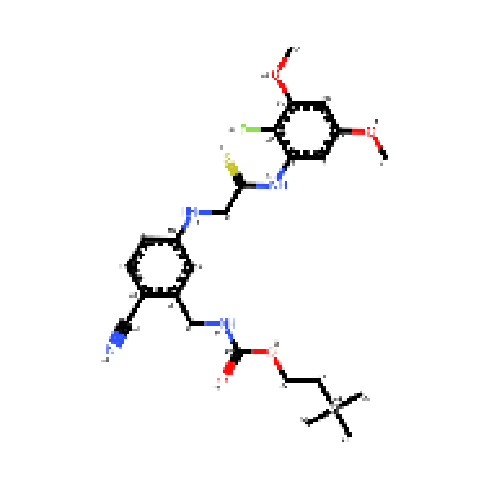 COc1cc(NC(=S)CNc2ccc(C#N)c(CNC(=O)OCC[Si](C)(C)C)c2)c(F)c(OC)c1